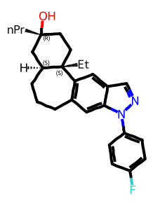 CCC[C@@]1(O)CC[C@]2(CC)c3cc4cnn(-c5ccc(F)cc5)c4cc3CCC[C@H]2C1